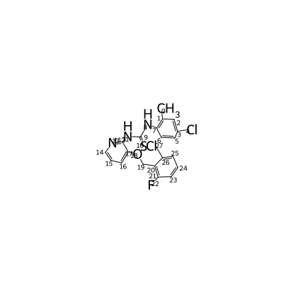 Cc1cc(Cl)ccc1NC(=S)Nc1ncccc1OCc1c(F)cccc1Cl